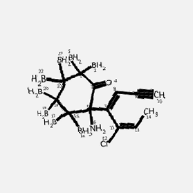 BC1(B)C(=O)C(N)(C(=C/C#C)/C(Cl)=C\C)C(B)(B)C(B)(B)C1(B)B